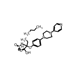 CCC(N[SH](=O)=O)(Oc1ccc(N2CCN(c3ccncc3)CC2)cc1)C(=O)O.CCCC